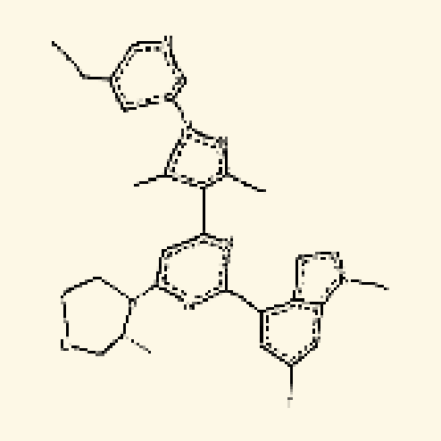 CCc1cncc(-n2nc(C)c(-c3cc(N4CCOC[C@H]4C)nc(-c4cc(F)cc5c4ccn5C)n3)c2C)c1